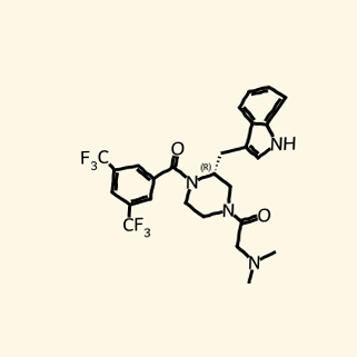 CN(C)CC(=O)N1CCN(C(=O)c2cc(C(F)(F)F)cc(C(F)(F)F)c2)[C@H](Cc2c[nH]c3ccccc23)C1